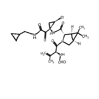 C=C(C)[C@H](NC=O)C(=O)N1C[C@H]2[C@@H]([C@H]1C(=O)N[C@@]1(C(=O)C(=O)NCC3CC3)C[C@H]1CC)C2(C)C